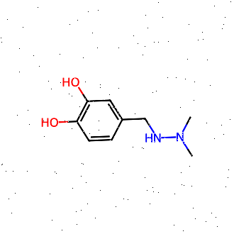 CN(C)NCc1ccc(O)c(O)c1